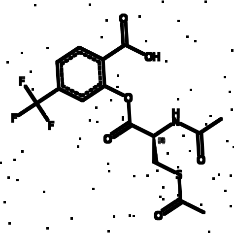 CC(=O)N[C@@H](CSC(C)=O)C(=O)Oc1cc(C(F)(F)F)ccc1C(=O)O